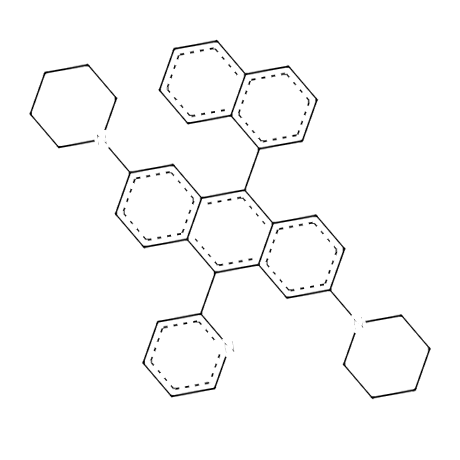 c1ccc(-c2c3cc(N4CCCCC4)ccc3c(-c3cccc4ccccc34)c3cc(N4CCCCC4)ccc23)nc1